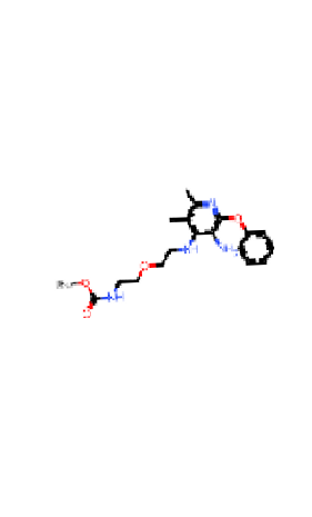 Cc1nc(Oc2ccccc2)c(N)c(NCCOCCNC(=O)OC(C)(C)C)c1C